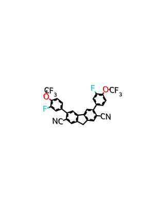 N#Cc1cc2c(cc1-c1ccc(OC(F)(F)F)c(F)c1)-c1cc(-c3ccc(OC(F)(F)F)c(F)c3)c(C#N)cc1C2